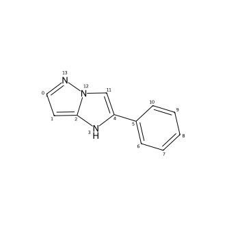 [c]1cc2[nH]c(-c3ccccc3)cn2n1